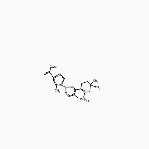 COC(=O)c1ccc(-c2ccc(OC)c(C3=C(CCl)CC(C)(C)CC3)c2)c(C)c1